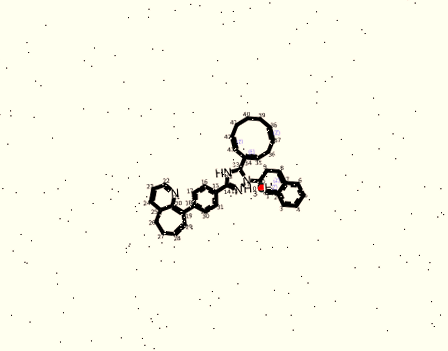 C/C=c1/cccc/c1=C/CC(C)N1N=C(c2ccc(C3=C4N=CC=CC4CCC=C3)cc2)NC1C1=C/C/C=C\CCC/C=C\1